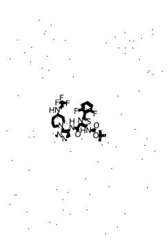 Cn1ncc(NC(=O)c2nc(-c3c(F)cccc3F)sc2NC(=O)OC(C)(C)C)c1N1CCC[C@@H](NCC(F)(F)F)CC1